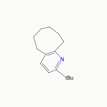 CC(C)(C)c1ccc2c(n1)CCCCCC2